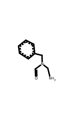 NCN([C]=O)Cc1ccccc1